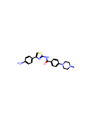 CN1CCN(c2ccc(C(=O)Nc3nc(-c4ccc(N)cc4)cs3)cc2)CC1